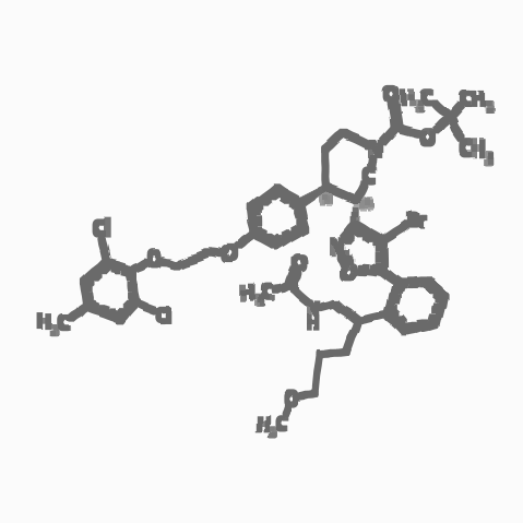 COCCCC(CNC(C)=O)c1ccccc1-c1onc([C@H]2CN(C(=O)OC(C)(C)C)CC[C@@H]2c2ccc(OCCOc3c(Cl)cc(C)cc3Cl)cc2)c1Br